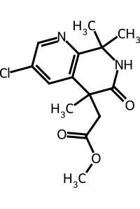 COC(=O)CC1(C)C(=O)NC(C)(C)c2ncc(Cl)cc21